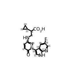 O=C(O)C(CNc1ccc(=O)n(-c2c[nH]c3ncc(F)cc23)n1)C1CC1